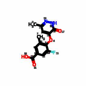 Cc1cc(Oc2c(C)cc(C(=O)O)cc2F)c(=O)[nH]n1